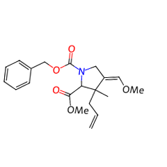 C=CCC1(C)/C(=C\OC)CN(C(=O)OCc2ccccc2)C1C(=O)OC